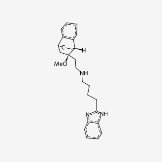 CO[C@@]1(CCNCCCCc2nc3ccccc3[nH]2)CC2CC[C@@H]1c1ccccc12